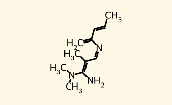 C=C(/C=C/C)/N=C\C(C)=C(/N)N(C)C